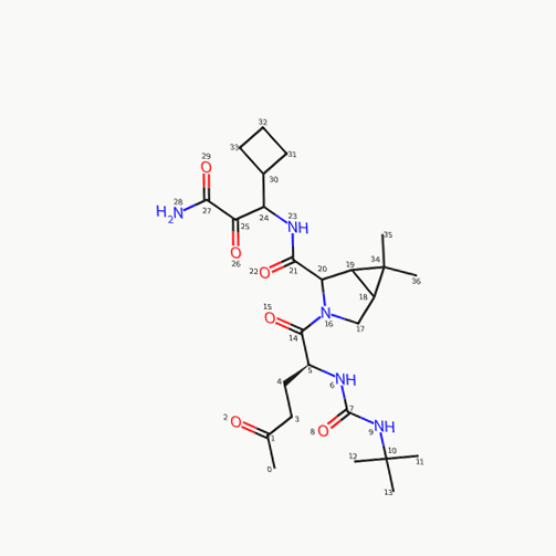 CC(=O)CC[C@H](NC(=O)NC(C)(C)C)C(=O)N1CC2C(C1C(=O)NC(C(=O)C(N)=O)C1CCC1)C2(C)C